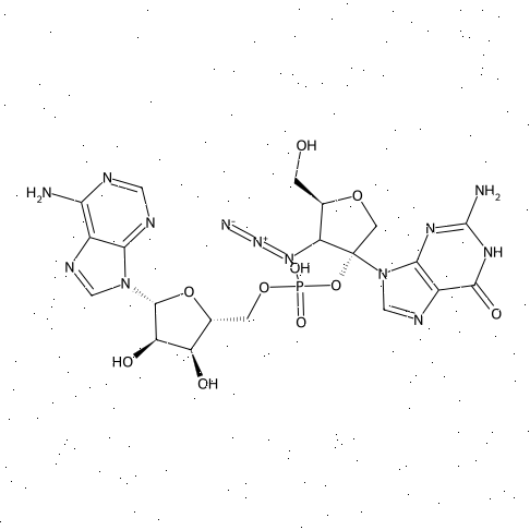 [N-]=[N+]=NC1[C@@H](CO)OC[C@@]1(OP(=O)(O)OC[C@H]1O[C@@H](n2cnc3c(N)ncnc32)[C@H](O)[C@@H]1O)n1cnc2c(=O)[nH]c(N)nc21